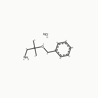 CC(C)(CN)OCc1ccccc1.Cl